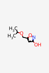 CC(C)OCc1cc(O)no1